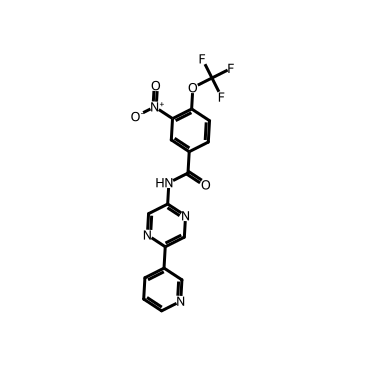 O=C(Nc1cnc(-c2cccnc2)cn1)c1ccc(OC(F)(F)F)c([N+](=O)[O-])c1